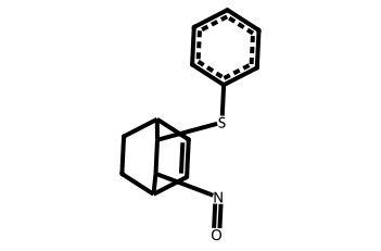 O=NC1C2C=CC(CC2)C1Sc1ccccc1